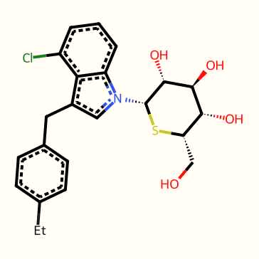 CCc1ccc(Cc2cn([C@H]3S[C@@H](CO)[C@@H](O)[C@H](O)[C@H]3O)c3cccc(Cl)c23)cc1